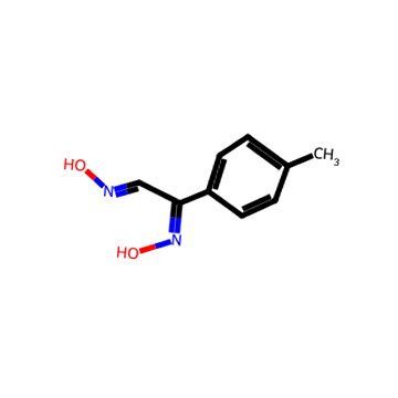 Cc1ccc(C(C=NO)=NO)cc1